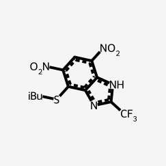 CCC(C)Sc1c([N+](=O)[O-])cc([N+](=O)[O-])c2[nH]c(C(F)(F)F)nc12